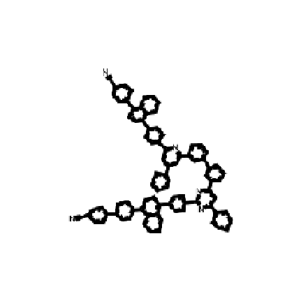 N#Cc1ccc(-c2ccc(-c3ccc(-c4ccc(-c5nc(-c6ccccc6)cc(-c6cccc(-c7cccc(-c8cc(-c9ccccc9)cc(-c9ccc(-c%10ccc(-c%11ccc(C#N)cc%11)c%11ccccc%10%11)cc9)n8)c7)c6)n5)cc4)c4ccccc34)cc2)cc1